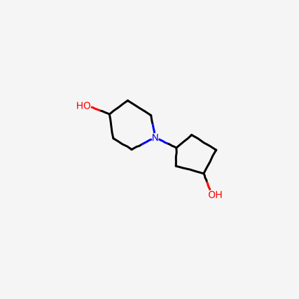 OC1CCN(C2CCC(O)C2)CC1